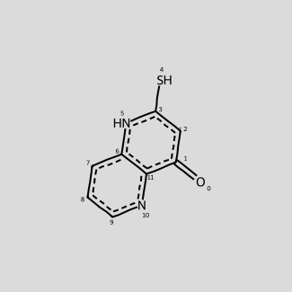 O=c1[c]c(S)[nH]c2cccnc12